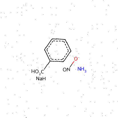 N.O=C(O)c1ccccc1.O=[NH+][O-].[NaH]